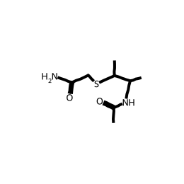 CC(=O)NC(C)C(C)SCC(N)=O